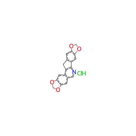 Cl.c1c2c(cc3c1OCO3)-c1ncc3cc4c(cc3c1C2)OCO4